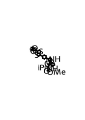 COC(=O)N[C@H](C(=O)N1CCCC1c1nc(-c2ccc(-c3csc4c(B5OC(C)(C)C(C)(C)O5)csc34)cc2)c[nH]1)C(C)C